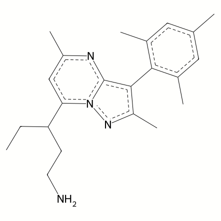 CCC(CCN)c1cc(C)nc2c(-c3c(C)cc(C)cc3C)c(C)nn12